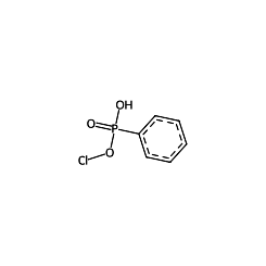 O=P(O)(OCl)c1ccccc1